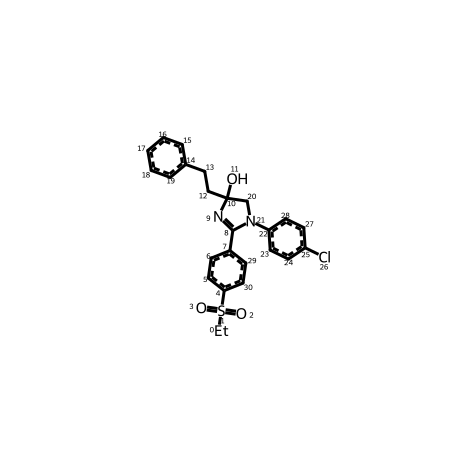 CCS(=O)(=O)c1ccc(C2=NC(O)(CCc3ccccc3)CN2c2ccc(Cl)cc2)cc1